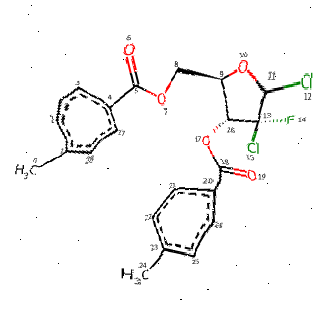 Cc1ccc(C(=O)OC[C@H]2OC(Cl)[C@@](F)(Cl)[C@@H]2OC(=O)c2ccc(C)cc2)cc1